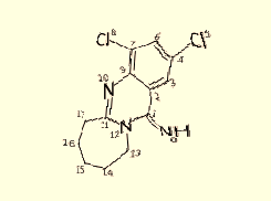 N=c1c2cc(Cl)cc(Cl)c2nc2n1CCCCC2